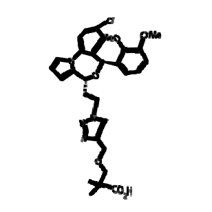 COc1cccc([C@H]2O[C@H](CCn3cc(COCC(C)(C)C(=O)O)nn3)c3cccn3-c3ccc(Cl)cc32)c1OC